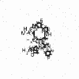 CO[C@H]1CN(C)C(=O)[C@@H]2C[C@@H](CN2c2nc(N3C[C@H]4C[C@@H]3CC(=O)N4C)nc3c2cnn3-c2ccc(F)cc2F)Nc2cccc(n2)-c2cc(F)cc3nc(C)n(c23)C1